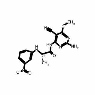 CSc1nc(N)nc(NC(=O)[C@H](C)Nc2cccc([N+](=O)[O-])c2)c1C#N